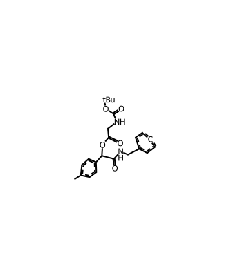 Cc1ccc(C(OC(=O)CNC(=O)OC(C)(C)C)C(=O)NCc2ccccc2)cc1